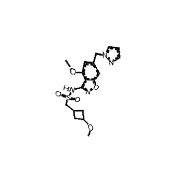 COc1cc(Cn2cccn2)cc2onc(NS(=O)(=O)CC3CC(OC)C3)c12